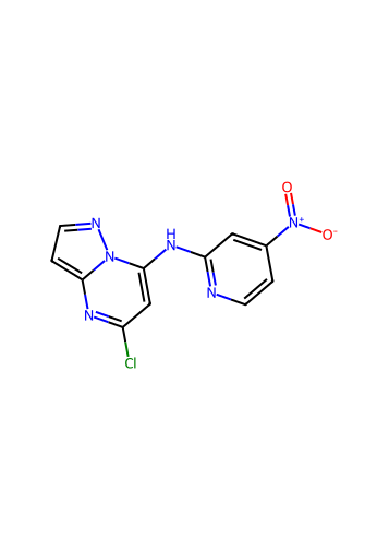 O=[N+]([O-])c1ccnc(Nc2cc(Cl)nc3ccnn23)c1